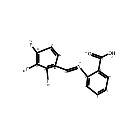 O=C(O)c1ccccc1/N=C/c1ccc(F)c(F)c1F